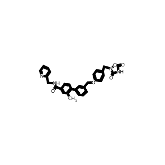 Cc1cc(C(=O)NCc2ccccn2)ccc1-c1cccc(COc2ccc(Cn3oc(=O)[nH]c3=O)cc2)c1